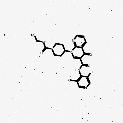 CCNC(=O)N1CCC(n2cc(C(=O)Nc3c(Cl)cncc3Cl)c(=O)c3cccnc32)CC1